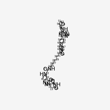 O=C(CNc1ccc2nnn(C3CCC(=O)NC3=O)c(=O)c2c1)NCCCCCCCCCC(=O)N1CCN(c2ccc(-c3ncc(NCc4ccco4)n4cnnc34)cc2)CC1